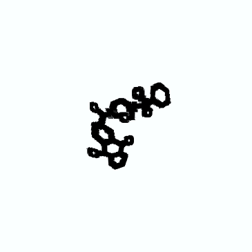 O=C1c2ccccc2C(=O)c2cc(C(=O)N3CCN(S(=O)(=O)C4CCCCC4)CC3)ccc21